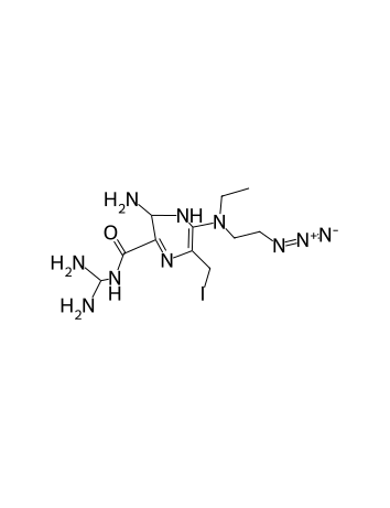 CCN(CCN=[N+]=[N-])C1=C(CI)N=C(C(=O)NC(N)N)C(N)N1